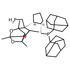 CC12CC3(C)OC(C)(CC(C)(O1)C3(CP)[C@@H]1CCC[C@@H]1CP(C13CC4CC(CC(C4)C1)C3)C13CC4CC(CC(C4)C1)C3)O2